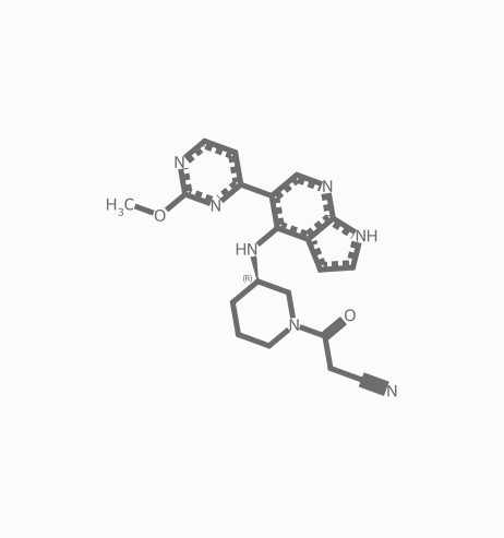 COc1nccc(-c2cnc3[nH]ccc3c2N[C@@H]2CCCN(C(=O)CC#N)C2)n1